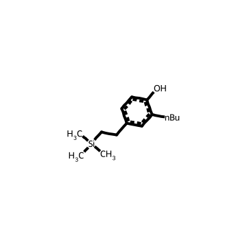 CCCCc1cc(CC[Si](C)(C)C)ccc1O